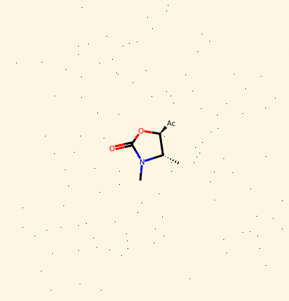 CC(=O)[C@@H]1OC(=O)N(C)[C@H]1C